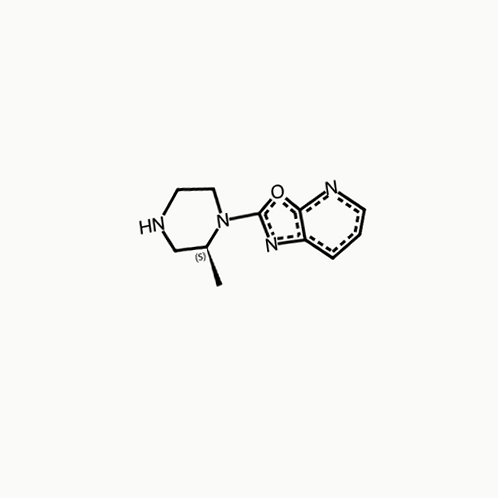 C[C@H]1CNCCN1c1nc2cccnc2o1